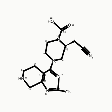 N#CC[C@H]1CN(c2nc(Cl)nc3c2CCNC3)CCN1C(=O)O